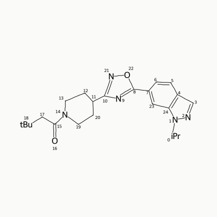 CC(C)n1ncc2ccc(-c3nc(C4CCN(C(=O)CC(C)(C)C)CC4)no3)cc21